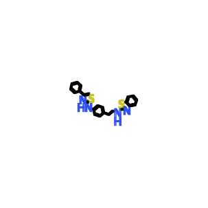 c1ccc(-c2csc(Nc3ccc(CCNc4nc5ccccc5s4)cc3)n2)cc1